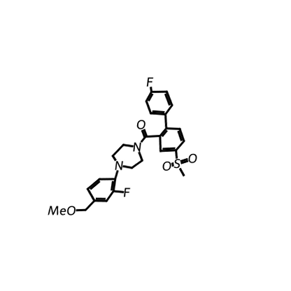 COCc1ccc(N2CCN(C(=O)c3cc(S(C)(=O)=O)ccc3-c3ccc(F)cc3)CC2)c(F)c1